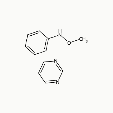 CONc1ccccc1.c1cncnc1